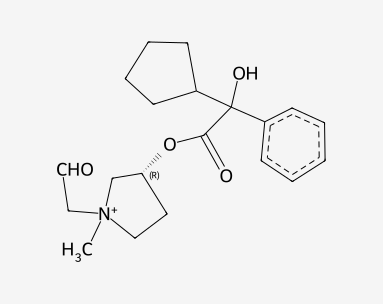 C[N+]1(CC=O)CC[C@@H](OC(=O)C(O)(c2ccccc2)C2CCCC2)C1